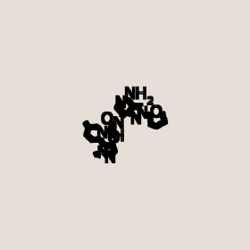 CC1CCC(c2ccnn2C)N(C(=O)C(=O)Nc2cnc(N)c3cn(C4CCCCO4)nc23)C1